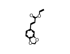 C=COC(=O)C=Cc1ccc2c(c1)OCO2